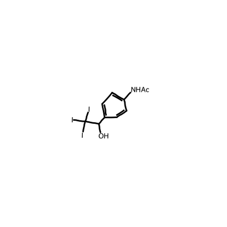 CC(=O)Nc1ccc(C(O)C(I)(I)I)cc1